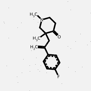 C=C(CC1(C)CN(C)CCC1=O)c1ccc(F)cc1